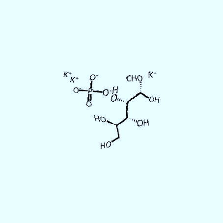 O=C[C@H](O)[C@@H](O)[C@H](O)[C@H](O)CO.O=P([O-])([O-])[O-].[K+].[K+].[K+]